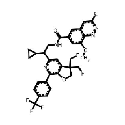 COc1cc(C(=O)NCC(c2cc3c(c(-c4ccc(C(F)(F)F)cc4)n2)OCC3(CF)CF)C2CC2)cc2cc(Cl)nnc12